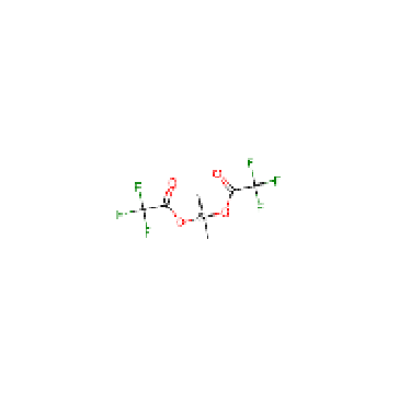 C[Si](C)(OC(=O)C(F)(F)F)OC(=O)C(F)(F)F